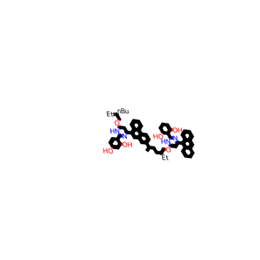 CCCCC(CC)COC1CC(c2cc3cc(C(C)CCC(CC)COC4=CC(c5c6c(cc7ccccc57)CCC=C6)=NC(C5C(O)=CCCC5O)N4)ccc3c3ccccc23)=NC(C2C=CC(O)=CC2O)N1